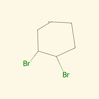 BrC1C[CH]CCC1Br